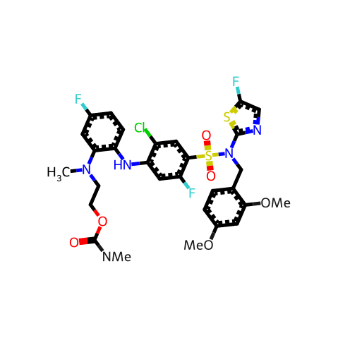 CNC(=O)OCCN(C)c1cc(F)ccc1Nc1cc(F)c(S(=O)(=O)N(Cc2ccc(OC)cc2OC)c2ncc(F)s2)cc1Cl